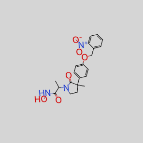 CC(C(=O)NO)N1CCC(C)(c2ccc(OCc3ccccc3[N+](=O)[O-])cc2)C1=O